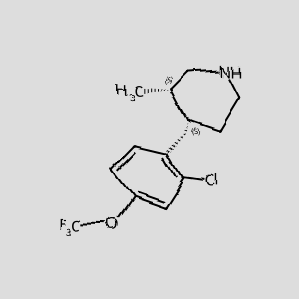 C[C@@H]1CNCC[C@@H]1c1ccc(OC(F)(F)F)cc1Cl